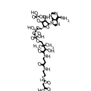 CC(C)(COP(=O)(O)OP(=O)(O)OC[C@H]1O[C@@H](n2cnc3c(N)ncnc32)[C@H](O)[C@@H]1OP(=O)(O)O)[C@@H](O)C(=O)NCCC(=O)NCCS[14C](=O)CC(=O)O